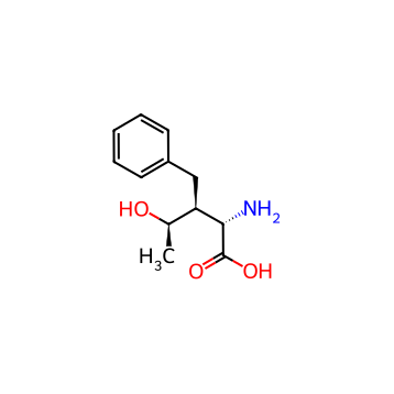 C[C@@H](O)[C@@H](Cc1ccccc1)[C@H](N)C(=O)O